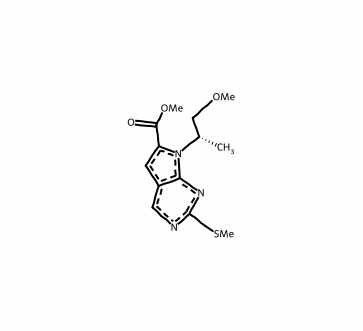 COC[C@H](C)n1c(C(=O)OC)cc2cnc(SC)nc21